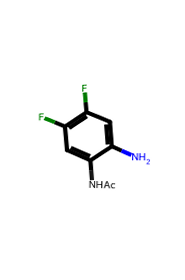 CC(=O)Nc1cc(F)c(F)cc1N